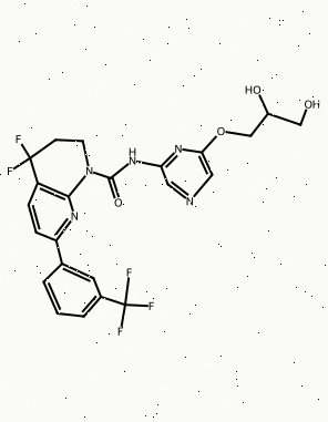 O=C(Nc1cncc(OCC(O)CO)n1)N1CCC(F)(F)c2ccc(-c3cccc(C(F)(F)F)c3)nc21